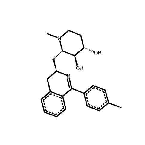 CN1CC[C@H](O)[C@@H](O)[C@@H]1C[C@@H]1Cc2ccccc2C(c2ccc(F)cc2)=N1